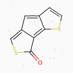 O=C1SC=C2C=c3ccsc3=C12